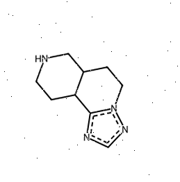 c1nc2n(n1)CCC1CNCCC21